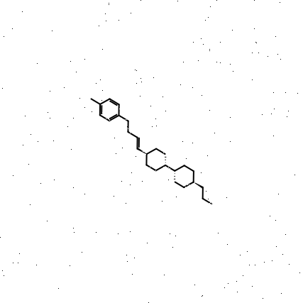 CCC[C@H]1CC[C@H]([C@H]2CC[C@H](C=CCCc3ccc(C)cc3)CC2)CC1